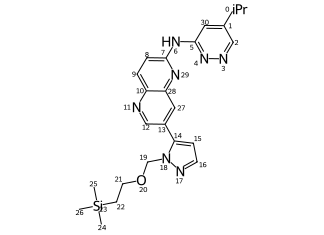 CC(C)c1cnnc(Nc2ccc3ncc(-c4ccnn4COCC[Si](C)(C)C)cc3n2)c1